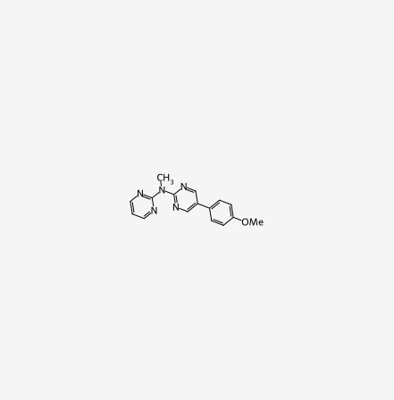 COc1ccc(-c2cnc(N(C)c3ncccn3)nc2)cc1